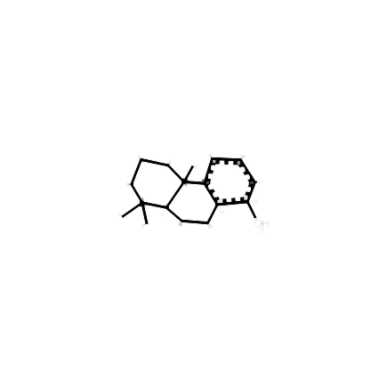 CC1(C)CCCC2(C)c3cccc(O)c3CCC12